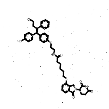 O=C(CCCCCSc1cccc2c1CN(C1CCC(=O)NC1=O)C2=O)NCCOc1ccc(/C(=C(/CCCl)c2ccccc2)c2ccc(O)cc2)cc1